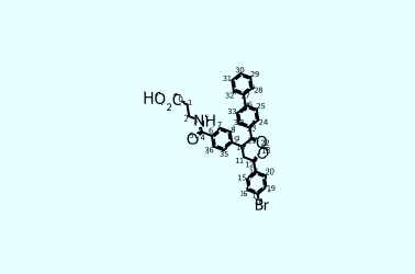 O=C(O)CCNC(=O)c1ccc(C(CC(=O)c2ccc(Br)cc2)C(=O)c2ccc(-c3ccccc3)cc2)cc1